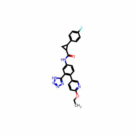 CCOc1ccc(-c2ccc(NC(=O)C3CC3c3ccc(F)cc3)cc2-c2nnn[nH]2)cn1